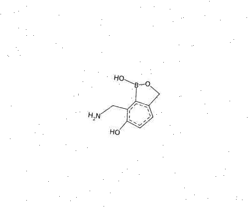 NCc1c(O)ccc2c1B(O)OC2